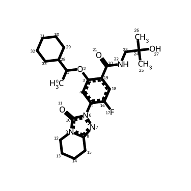 CC(Oc1cc(-n2nc3n(c2=O)CCCC3)c(F)cc1C(=O)NCC(C)(C)O)C1CCCCC1